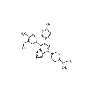 Cc1ncc(-c2c(-c3ccc(C#N)cc3)nc(N3CCC(N(C)C)CC3)c3cncn23)cc1CO